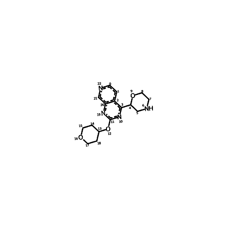 c1cc2c(C3CNCCO3)nc(OC3CCOCC3)nc2cn1